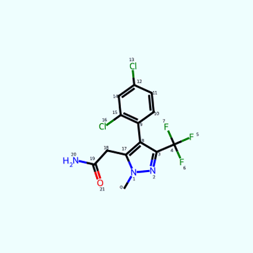 Cn1nc(C(F)(F)F)c(-c2ccc(Cl)cc2Cl)c1CC(N)=O